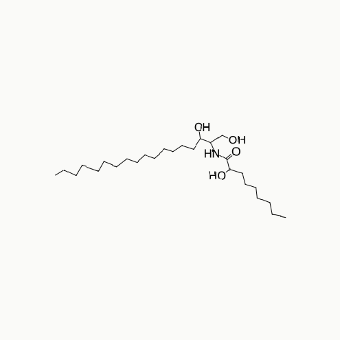 CCCCCCCCCCCCCCCC(O)C(CO)NC(=O)C(O)CCCCCCC